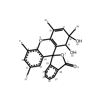 O=C1OC2(C3=C(Oc4c(I)cc(I)cc42)C(I)=CC(O)(I)C3O)c2ccccc21